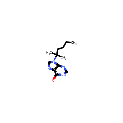 CCCCC(C)(C)n1cnc2c(=O)[nH]cnc21